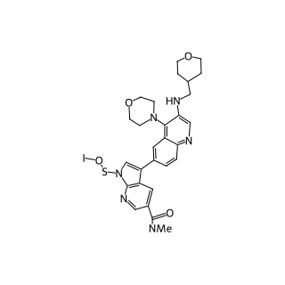 CNC(=O)c1cnc2c(c1)c(-c1ccc3ncc(NCC4CCOCC4)c(N4CCOCC4)c3c1)cn2SOI